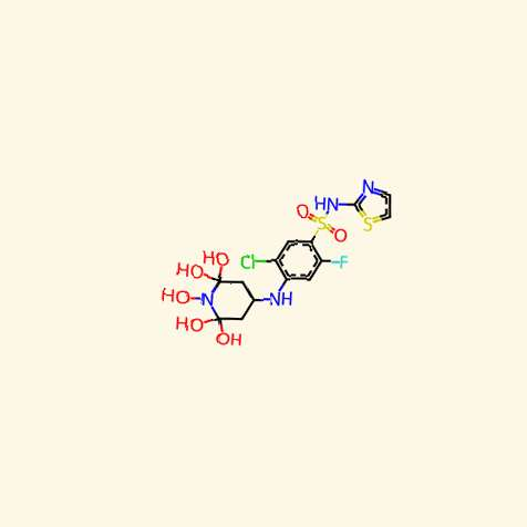 O=S(=O)(Nc1nccs1)c1cc(Cl)c(NC2CC(O)(O)N(O)C(O)(O)C2)cc1F